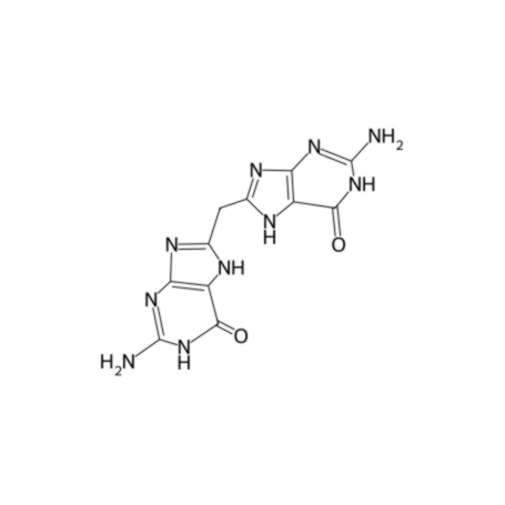 Nc1nc2nc(Cc3nc4nc(N)[nH]c(=O)c4[nH]3)[nH]c2c(=O)[nH]1